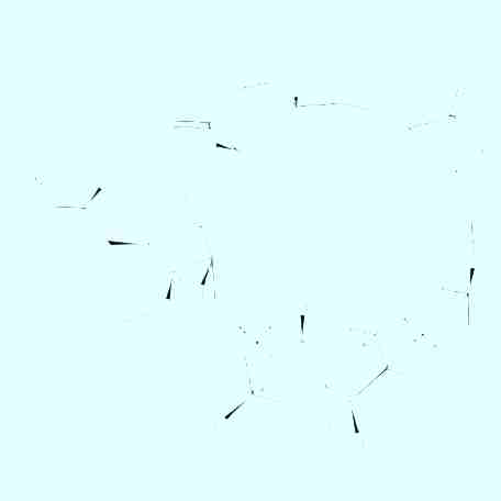 C=C1CC2CC[C@@]34C[C@H]5OC6[C@@H](O[C@H]7CC[C@H](CC(=O)C[C@@H]8[C@@H](OC)[C@@H](C[C@H](O)CN)O[C@H]8C[C@H]8O[C@@H](CC[C@@H]1O2)C[C@@H](C)C8=C)O[C@@H]7[C@@H]6O3)[C@H]5O4